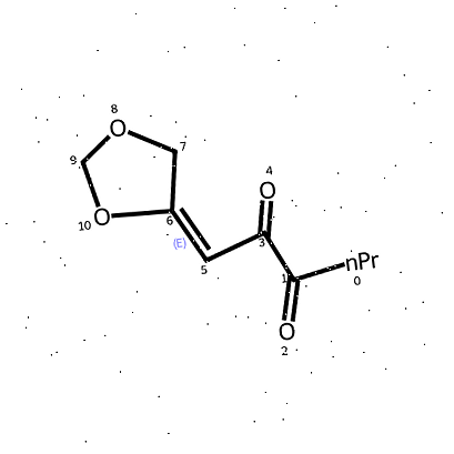 CCCC(=O)C(=O)/C=C1\COCO1